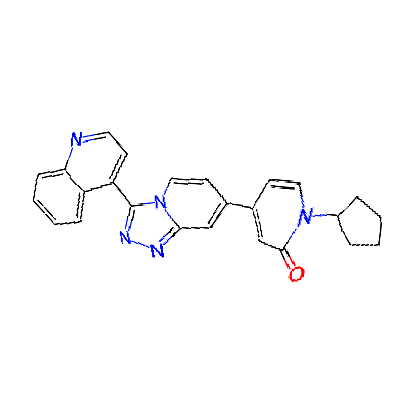 O=c1cc(-c2ccn3c(-c4ccnc5ccccc45)nnc3c2)ccn1C1CCCC1